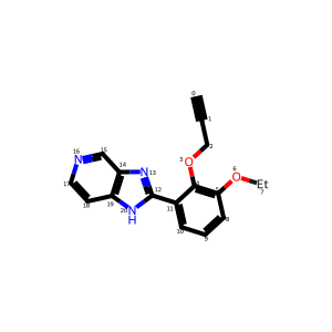 C#CCOc1c(OCC)cccc1-c1nc2cnccc2[nH]1